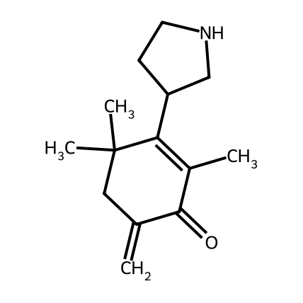 C=C1CC(C)(C)C(C2CCNC2)=C(C)C1=O